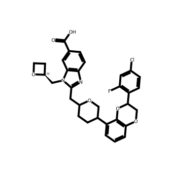 O=C(O)c1ccc2nc(CC3CCC(c4cccc5c4OC(c4ccc(Cl)cc4F)CO5)CO3)n(C[C@@H]3CCO3)c2c1